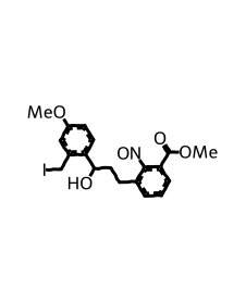 COC(=O)c1cccc(CCC(O)c2ccc(OC)cc2CI)c1N=O